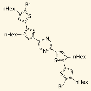 CCCCCCc1cc(-c2sc(-c3cnc(-c4cc(CCCCCC)c(-c5cc(CCCCCC)c(Br)s5)s4)cn3)cc2CCCCCC)sc1Br